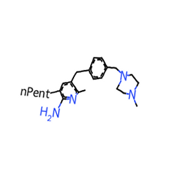 CCCCCc1cc(Cc2ccc(CN3CCN(C)CC3)cc2)c(C)nc1N